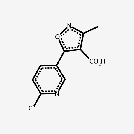 Cc1noc(-c2ccc(Cl)nc2)c1C(=O)O